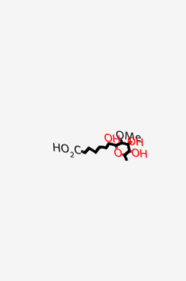 COC1C(O)C(O)C(C)OC1C(O)CCCCCC(=O)O